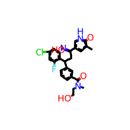 Cc1cc(/C(CC(c2cccc(C(=O)N(C)CCO)c2)c2ccc(Cl)cc2F)=N/O)c[nH]c1=O